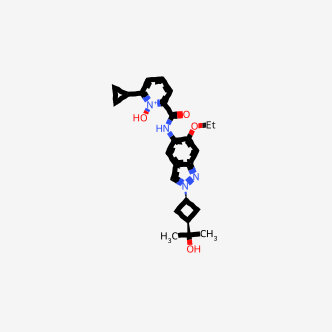 CCOc1cc2nn([C@H]3C[C@H](C(C)(C)O)C3)cc2cc1NC(=O)c1cccc(C2CC2)[n+]1O